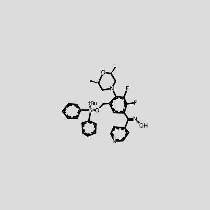 C[C@@H]1CN(c2c(CO[Si](c3ccccc3)(c3ccccc3)C(C)(C)C)cc(/C(=N/O)c3ccncc3)c(F)c2F)C[C@H](C)O1